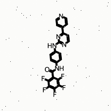 O=C(Nc1ccc(Nc2nccc(-c3ccncc3)n2)cc1)c1c(F)c(F)c(F)c(F)c1F